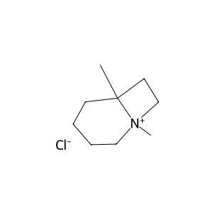 CC12CCCC[N+]1(C)CC2.[Cl-]